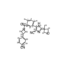 Cc1cc(C)c(-c2[nH]c(C3(C)COC3)nc2C#N)cc1C(=O)N1CC(c2ccc(C#N)cc2)C1